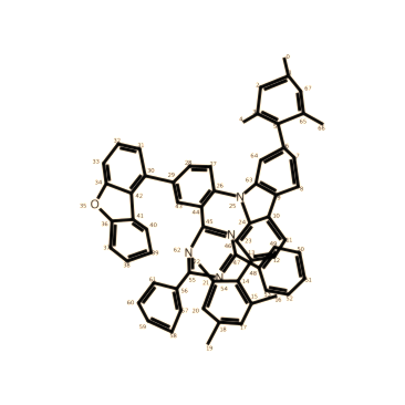 Cc1cc(C)c(-c2ccc3c4ccc(-c5c(C)cc(C)cc5C)cc4n(-c4ccc(-c5cccc6oc7ccccc7c56)cc4-c4nc(-c5ccccc5)nc(-c5ccccc5)n4)c3c2)c(C)c1